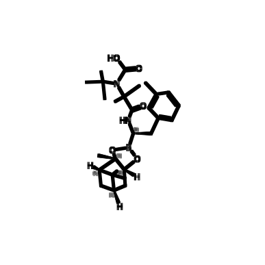 Cc1cccc(C[C@H](NC(=O)C(C)(C)N(C(=O)O)C(C)(C)C)B2O[C@@H]3C[C@@H]4C[C@@H](C4(C)C)[C@]3(C)O2)c1